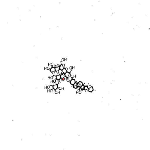 C[C@@H]1CC[C@@]2(OC1)OC1[C@@H](O)[C@H]3[C@@H]4CC[C@@]5(C)C[C@@H](O[C@@H]6O[C@H](CO)[C@H](O[C@@H]7O[C@H](CO)[C@@H](O)[C@H](O[C@@H]8OC[C@@H](O)[C@H](O)[C@H]8O)C7O[C@@H]7O[C@H](CO)[C@H](O)[C@H](O[C@@H]8O[C@H](CO)[C@@H](O)[C@H](O)[C@H]8O)[C@H]7O)[C@H](O)[C@H]6O)[C@H](O)C[C@]5(C)[C@H]4CC[C@]3(C)[C@H]1[C@@H]2C